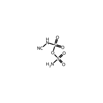 N#CNS(=O)(=O)OS(N)(=O)=O